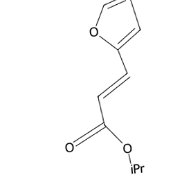 CC(C)OC(=O)C=Cc1ccco1